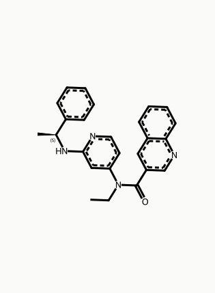 CCN(C(=O)c1cnc2ccccc2c1)c1ccnc(N[C@@H](C)c2ccccc2)c1